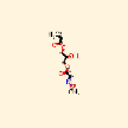 C=CC(=O)OCC(O)COC(=O)/C=N/OC